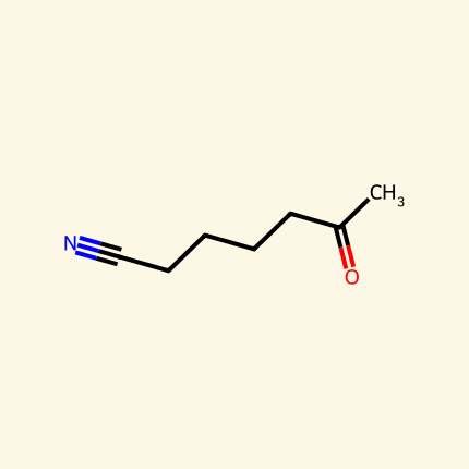 CC(=O)CCCCC#N